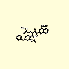 COc1cc(C(=O)NC(CCC(=O)OC(C)(C)C)C(=O)N2CCN(Cc3ccccc3)CC2C)nc2ccccc12